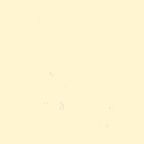 O=C(O)c1ccc(NS(=O)(=O)c2csc(-c3ccc(F)cc3)n2)s1